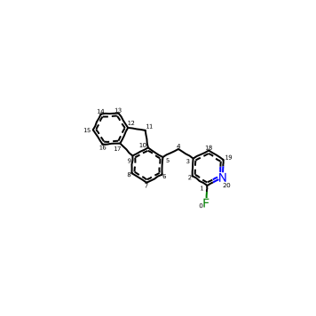 Fc1cc(Cc2cccc3c2Cc2ccccc2-3)ccn1